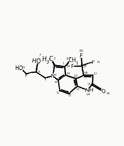 Cc1c(C)n(CC(O)CO)c2ccc3[nH]c(=O)cc(C(F)(F)F)c3c12